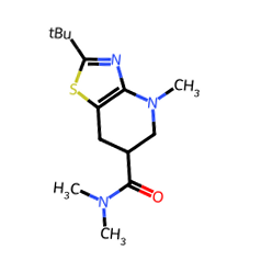 CN(C)C(=O)C1Cc2sc(C(C)(C)C)nc2N(C)C1